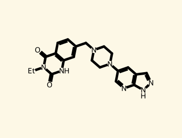 CCn1c(=O)[nH]c2cc(CN3CCN(c4cnc5[nH]ncc5c4)CC3)ccc2c1=O